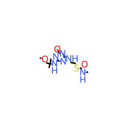 CNC(=O)SCCNc1nc(NC(C)(C)COC)nc(OC)n1